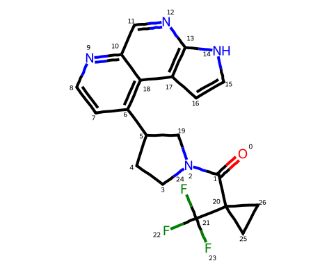 O=C(N1CCC(c2ccnc3cnc4[nH]ccc4c23)C1)C1(C(F)(F)F)CC1